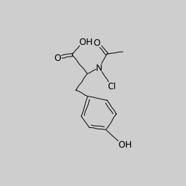 CC(=O)N(Cl)C(Cc1ccc(O)cc1)C(=O)O